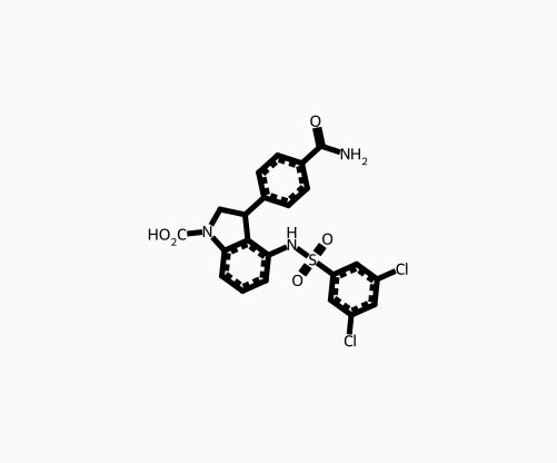 NC(=O)c1ccc(C2CN(C(=O)O)c3cccc(NS(=O)(=O)c4cc(Cl)cc(Cl)c4)c32)cc1